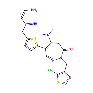 CN(C)C1=C(c2cnc(CC(=N)/C=C\N)s2)C=NN(Cc2ncsc2Cl)C(=O)C1